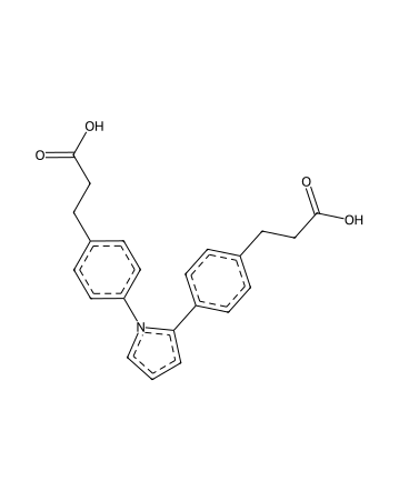 O=C(O)CCc1ccc(-c2cccn2-c2ccc(CCC(=O)O)cc2)cc1